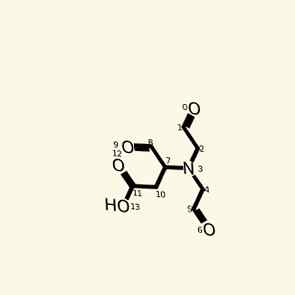 O=CCN(CC=O)C(C=O)CC(=O)O